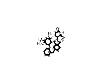 CC1(C)CC(N[C@H]2CCCC[C@@H]2Cc2ccc3c(c2)CN(C2CCC(=O)NC2=O)C3=O)CC(C)(C)C1